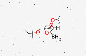 BC1OC2(COC(C)(C)CC)C=C(OC(C)C)[C@@H]1OC2